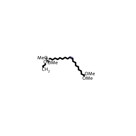 C=CCO[Si](CCCCCCCC/C=C\CCCCCCCC(OC)OC)(OC)OC